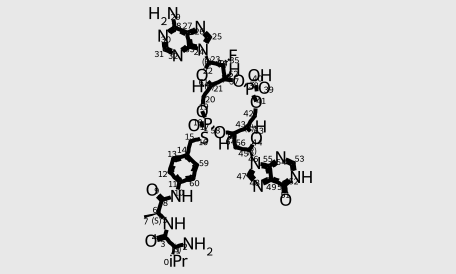 CC(C)[C@H](N)C(=O)N[C@@H](C)C(=O)Nc1ccc(CSP2(=O)OC[C@H]3O[C@@H](n4cnc5c(N)ncnc54)[C@H](F)[C@@H]3OP(=O)(O)OC[C@H]3O[C@@H](n4cnc5c(=O)[nH]cnc54)C[C@@H]3O2)cc1